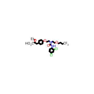 CCOC(Cc1ccc(OCCN(CCOCCCC(F)(F)F)C(=O)Nc2ccc(Cl)cc2Cl)cc1)C(=O)O